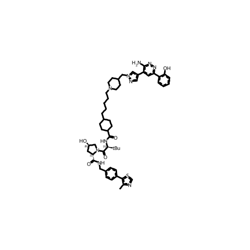 Cc1ncsc1-c1ccc(CNC(=O)[C@@H]2C[C@@H](O)CN2C(=O)[C@@H](NC(=O)C2CCC(CCCCCN3CCC(Cn4cc(-c5cc(-c6ccccc6O)nnc5N)cn4)CC3)CC2)C(C)(C)C)cc1